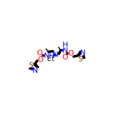 CCN(C[C@@H](C)NC(=O)OCc1cncs1)C[C@H](C)NC(=O)OCc1cncs1